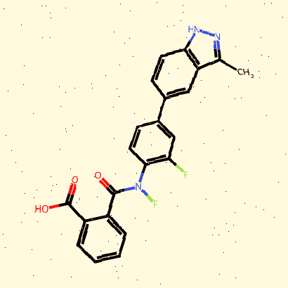 Cc1n[nH]c2ccc(-c3ccc(N(F)C(=O)c4ccccc4C(=O)O)c(F)c3)cc12